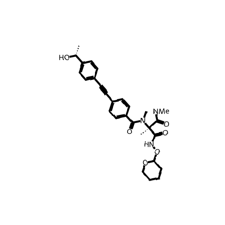 CNC(=O)[C@@](C)(C(=O)NOC1CCCCO1)N(C)C(=O)c1ccc(C#Cc2ccc([C@@H](C)O)cc2)cc1